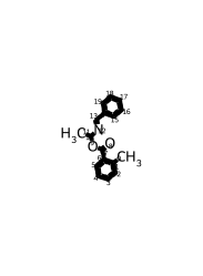 Cc1ccccc1C(=O)OC(C)N=Cc1ccccc1